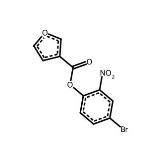 O=C(Oc1ccc(Br)cc1[N+](=O)[O-])c1ccoc1